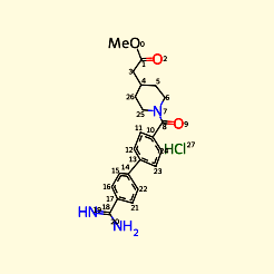 COC(=O)CC1CCN(C(=O)c2ccc(-c3ccc(C(=N)N)cc3)cc2)CC1.Cl